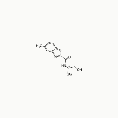 Cc1ccn2cc(C(=O)N[C@H](CO)C(C)(C)C)nc2c1